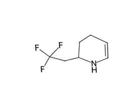 FC(F)(F)CC1CCC=CN1